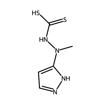 CN(NC(=S)S)c1ccn[nH]1